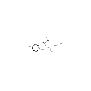 COCCN(C(C)C)[C@@H](Cc1ccc(C)cc1)C(=O)C(C)C